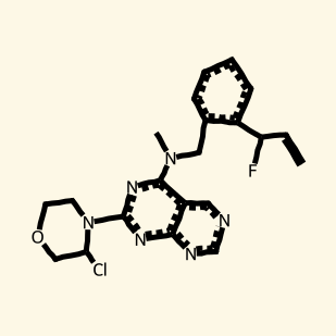 C=CC(F)c1ccccc1CN(C)c1nc(N2CCOCC2Cl)nc2ncncc12